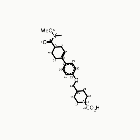 CON(C)C(=O)C1CC=C(c2ccc(OCC3CCN(C(=O)O)CC3)cc2)CC1